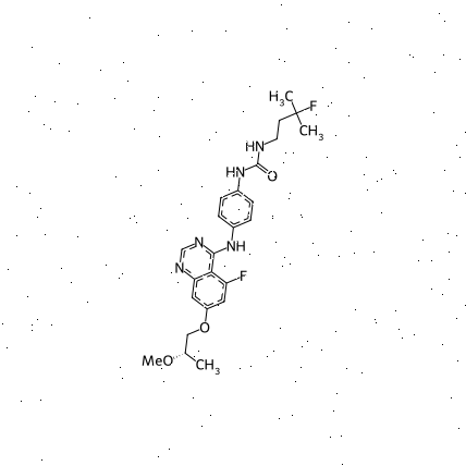 CO[C@@H](C)COc1cc(F)c2c(Nc3ccc(NC(=O)NCCC(C)(C)F)cc3)ncnc2c1